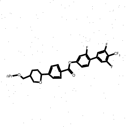 CCCOCC1CCC(c2ccc(C(=O)Oc3ccc(-c4cc(F)c(C(F)(F)F)c(F)c4)c(F)c3)cc2)OC1